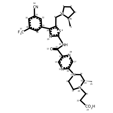 C[C@@H]1CCCN1Cc1sc(NC(=O)c2cnc(N3CCN(CCC(=O)O)[C@@H](C)C3)cn2)nc1-c1cc(C#N)cc(C(F)(F)F)c1